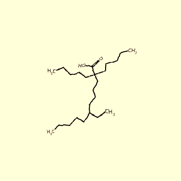 CCCCCC(CC)CCCCC(CCCCC)(CCCCC)C(=O)O